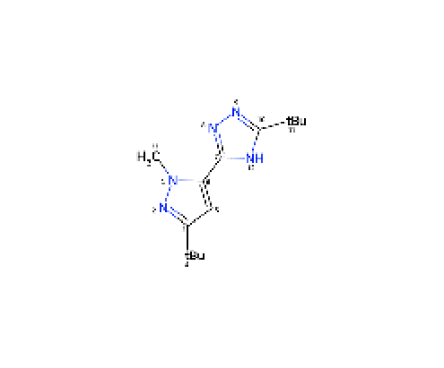 Cn1nc(C(C)(C)C)cc1-c1nnc(C(C)(C)C)[nH]1